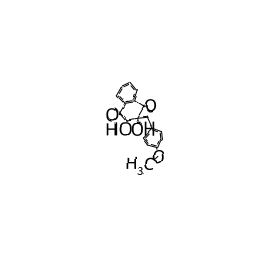 COc1ccc(C[C@@]2(O)C(=O)c3ccccc3C(=O)[C@@H]2O)cc1